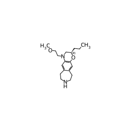 CCC[C@@H]1CN(CCOC)c2cc3c(cc2O1)CCNCC3